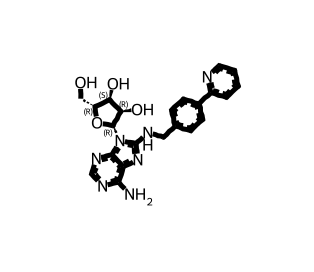 Nc1ncnc2c1nc(NCc1ccc(-c3ccccn3)cc1)n2[C@@H]1O[C@H](CO)[C@@H](O)[C@H]1O